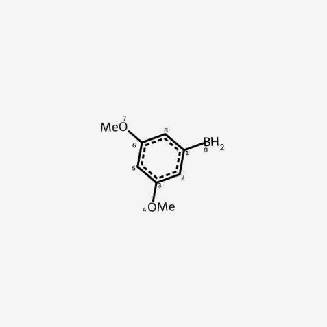 Bc1cc(OC)cc(OC)c1